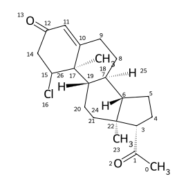 CC(=O)[C@H]1CC[C@H]2[C@@H]3CCC4=CC(=O)CC(Cl)[C@]4(C)[C@H]3CC[C@]12C